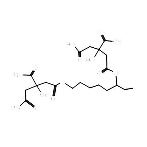 CCC(CCCCCOC(=O)CC(O)(CC(=O)O)C(=O)O)OC(=O)CC(O)(CC(=O)O)C(=O)O